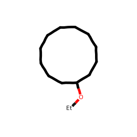 CCOC1CCCCCCCCCCC1